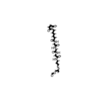 CC(COC=O)SSCCCNC(=O)CNC(=O)CNC(=O)CNC(=O)CCCCCN1C(=O)C=CC1=O